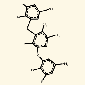 Nc1cc(F)c(F)c(Oc2cc(C(F)(F)F)c(C(F)(F)F)c(Oc3cc(N)cc(F)c3F)c2F)c1